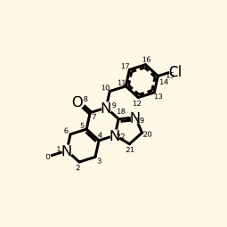 CN1CCC2=C(C1)C(=O)N(Cc1ccc(Cl)cc1)C1=NCCN12